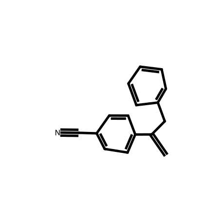 C=C(Cc1ccccc1)c1ccc(C#N)cc1